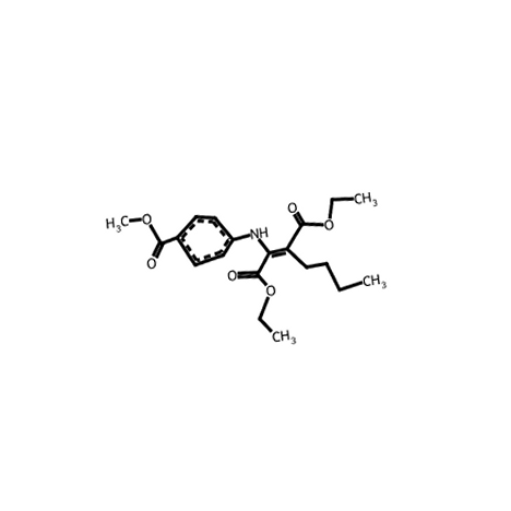 CCCCC(C(=O)OCC)=C(Nc1ccc(C(=O)OC)cc1)C(=O)OCC